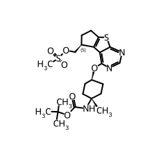 CC(C)(C)OC(=O)N[C@]1(C)CC[C@@H](Oc2ncnc3sc4c(c23)[C@@H](COS(C)(=O)=O)CC4)CC1